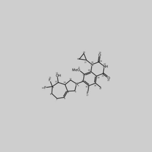 COc1c(N2CC3=CCCC(F)(F)C(O)C3C2)c(F)c(C)c2c(=O)[nH]c(=O)n(C3CC3)c12